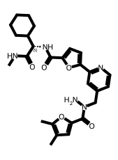 CNC(=O)[C@@H](NC(=O)c1ccc(-c2cc(CN(N)C(=O)c3cc(C)c(C)o3)ccn2)o1)C1CCCCC1